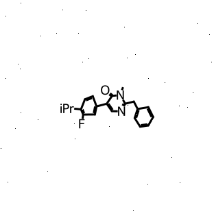 CC(C)c1ccc(-c2cnc(Cc3ccccc3)n(C)c2=O)cc1F